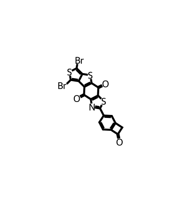 O=C1Cc2cc(-c3nc4c(s3)C(=O)c3sc5c(Br)sc(Br)c5c3C4=O)ccc21